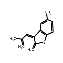 C=C(C)/C=c1\c(=C)sc2ccc(C)cc12